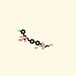 CC(C)Sc1cc(-c2ccc(CCN(C[C@H](O)c3cccc(Cl)c3)C(=O)OC(C)(C)C)cc2)ccc1C(=O)NS(=O)(=O)CCCO